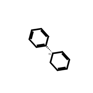 [C]1=CC=CC[C@@H]1c1[c]cccc1